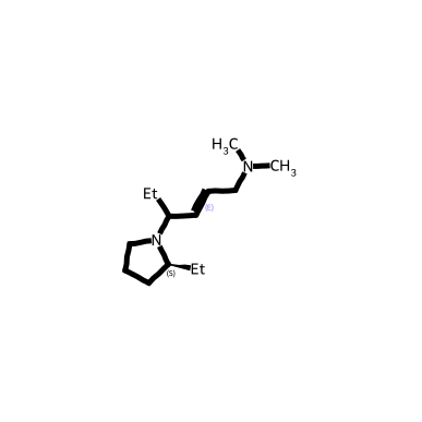 CCC(/C=C/CN(C)C)N1CCC[C@@H]1CC